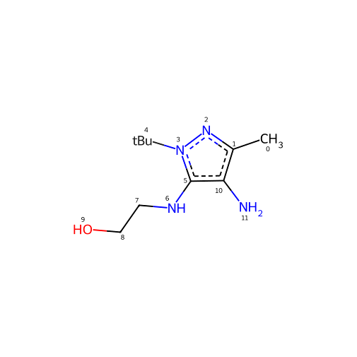 Cc1nn(C(C)(C)C)c(NCCO)c1N